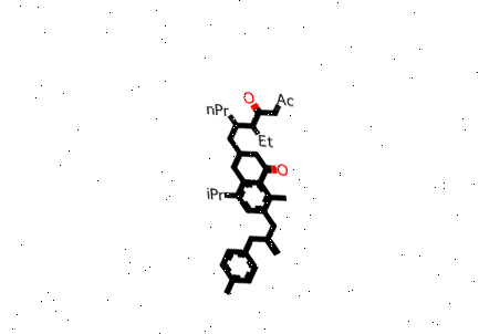 C=C(Cc1ccc(C)cc1)Cc1cc(C(C)C)c2c(c1C)C(=O)CC(CC(CCC)C(CC)C(=O)CC(C)=O)C2